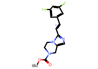 CC(C)(C)OC(=O)N1CCn2c(cnc2/C=C/c2cc(F)cc(F)c2)C1